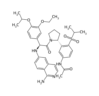 CCOc1cc([C@H](Nc2ccc3c(N)nccc3c2)C(=O)N2CCC[C@@H]2c2cc(NC(C)=O)ccc2S(=O)(=O)C(C)C)ccc1OC(C)C